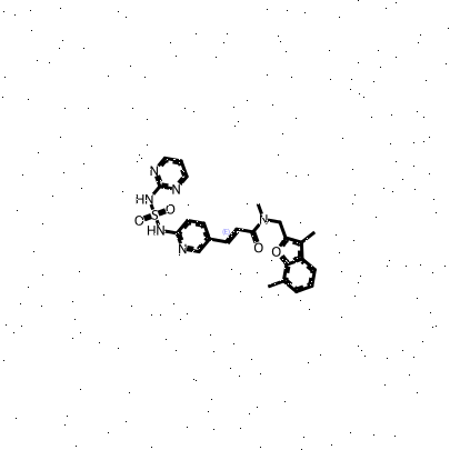 Cc1c(CN(C)C(=O)/C=C/c2ccc(NS(=O)(=O)Nc3ncccn3)nc2)oc2c(C)cccc12